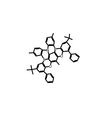 Cc1ccc2c(c1)B1c3cc(C(C)(C)C)cc(-c4ccccc4)c3Oc3c(C)c4c5c(c31)N2c1ccc(C)cc1B5c1cc(C(C)(C)C)cc(-c2ccccc2)c1O4